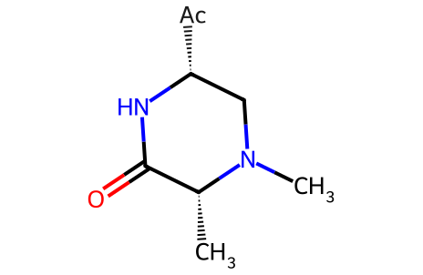 CC(=O)[C@@H]1CN(C)[C@H](C)C(=O)N1